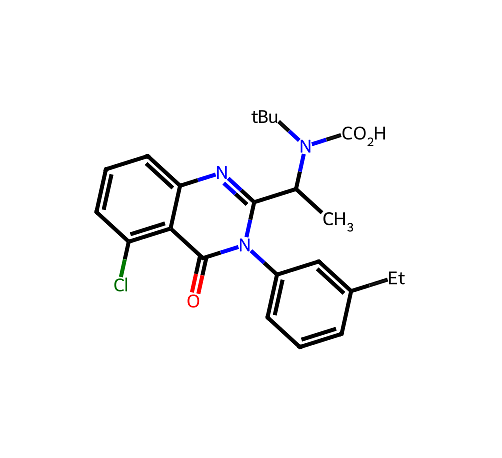 CCc1cccc(-n2c(C(C)N(C(=O)O)C(C)(C)C)nc3cccc(Cl)c3c2=O)c1